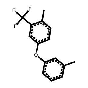 Cc1cccc(Oc2ccc(C)c(C(F)(F)F)c2)c1